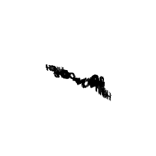 O=C(NO)c1ccc(OCC=CCOc2ccc(C(=O)NO)cc2)cc1